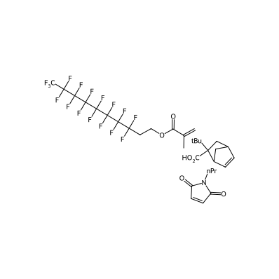 C=C(C)C(=O)OCCC(F)(F)C(F)(F)C(F)(F)C(F)(F)C(F)(F)C(F)(F)C(F)(F)C(F)(F)F.CC(C)(C)C1(C(=O)O)CC2C=CC1C2.CCCN1C(=O)C=CC1=O